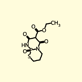 CCOC(=O)C1C(=O)NP2(=O)SCCCN2C1=O